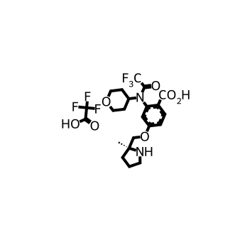 C[C@@]1(COc2ccc(C(=O)O)c(N(C(=O)C(F)(F)F)C3CCOCC3)c2)CCCN1.O=C(O)C(F)(F)F